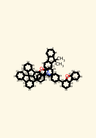 CC1(C)c2ccccc2-c2ccc(N(C3=CC=C(c4cccc5c4C4(c6ccccc6-5)c5ccccc5-c5c4ccc4c5oc5ccccc54)CC3)c3ccc(-c4cccc5c4oc4ccccc45)cc3)cc21